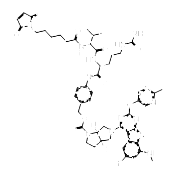 CNc1cc(F)cc2c1[nH]c1nc(Oc3cnc(C)nc3)nc(N3C[C@@H]4CCN(C(=O)OCc5ccc(NC(=O)[C@H](CCCNC(N)=O)NC(=O)[C@@H](NC(=O)CCCCCN6C(=O)C=CC6=O)C(C)C)cc5)[C@@H]4C3)c12